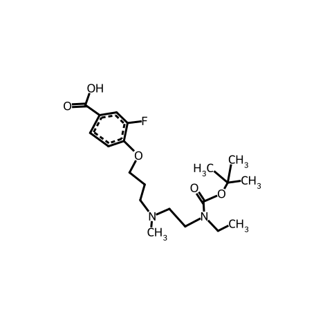 CCN(CCN(C)CCCOc1ccc(C(=O)O)cc1F)C(=O)OC(C)(C)C